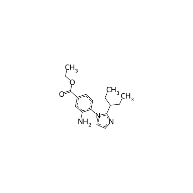 CCOC(=O)c1ccc(-n2ccnc2C(CC)CC)c(N)c1